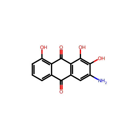 Nc1cc2c(c(O)c1O)C(=O)c1c(O)cccc1C2=O